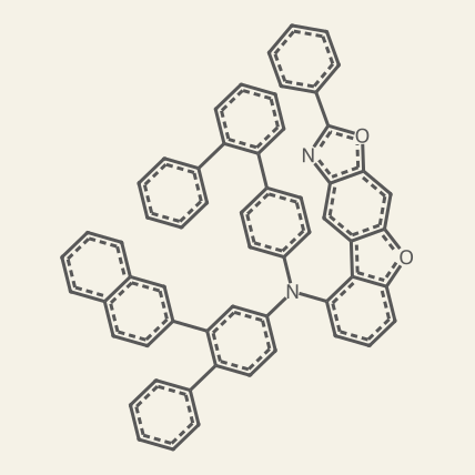 c1ccc(-c2nc3cc4c(cc3o2)oc2cccc(N(c3ccc(-c5ccccc5-c5ccccc5)cc3)c3ccc(-c5ccccc5)c(-c5ccc6ccccc6c5)c3)c24)cc1